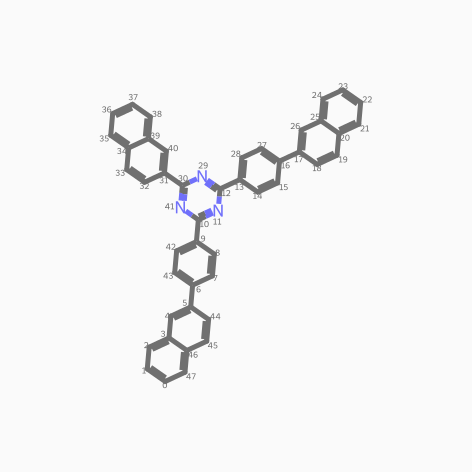 c1ccc2cc(-c3ccc(-c4nc(-c5ccc(-c6ccc7ccccc7c6)cc5)nc(-c5ccc6ccccc6c5)n4)cc3)ccc2c1